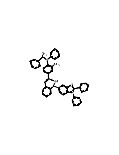 Cc1cc(C2=Cc3ccccc3C(c3ccc4c(c3)nc(-c3ccccc3)n4-c3ccccc3)N2)ccc1N(c1ccccc1)C(C)c1ccccc1